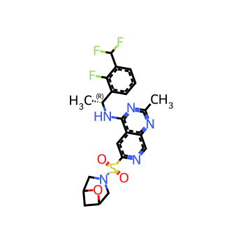 Cc1nc(N[C@H](C)c2cccc(C(F)F)c2F)c2cc(S(=O)(=O)N3CC4CC(C3)O4)ncc2n1